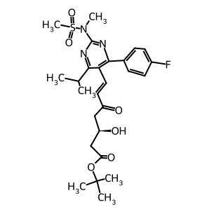 CC(C)c1nc(N(C)S(C)(=O)=O)nc(-c2ccc(F)cc2)c1C=CC(=O)C[C@@H](O)CC(=O)OC(C)(C)C